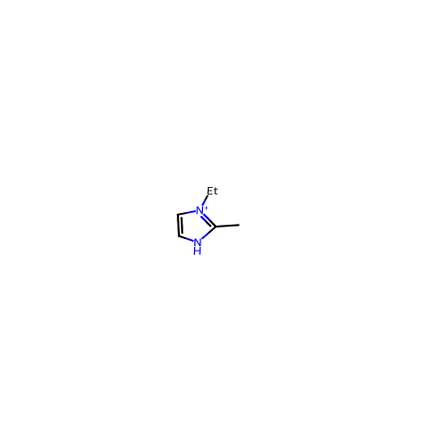 CC[n+]1cc[nH]c1C